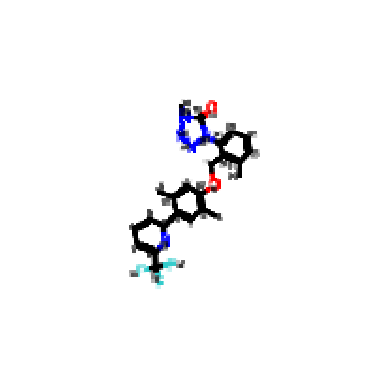 Cc1cc(-c2cccc(C(F)(F)F)n2)c(C)cc1OCc1c(C)cccc1-n1nnn(C)c1=O